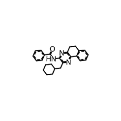 O=C(Nc1nc2c(nc1CC1CCCCC1)-c1ccccc1CC2)c1ccccc1